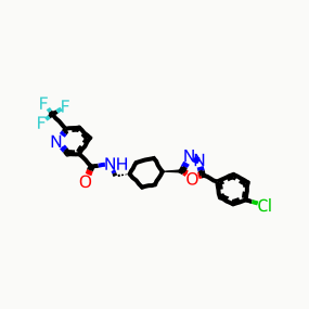 O=C(NC[C@H]1CC[C@H](c2nnc(-c3ccc(Cl)cc3)o2)CC1)c1ccc(C(F)(F)F)nc1